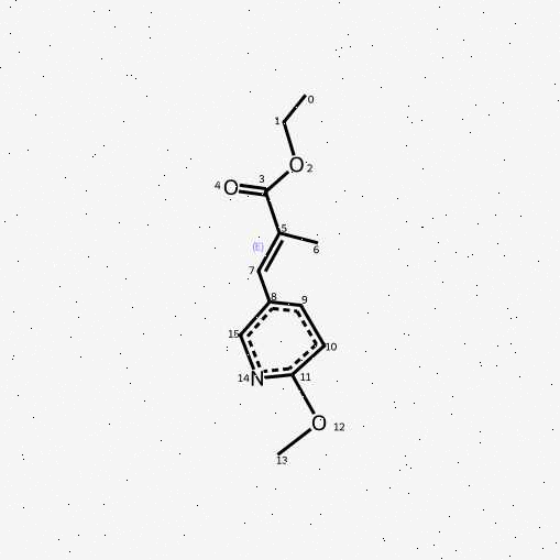 CCOC(=O)/C(C)=C/c1ccc(OC)nc1